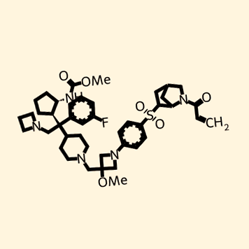 C=CC(=O)N1CC2CC1C(S(=O)(=O)c1ccc(N3CC(CN4CCC(C(CN5CCC5)(c5cccc(F)c5)[C@H]5CCC[C@@H]5NC(=O)OC)CC4)(OC)C3)cc1)C2